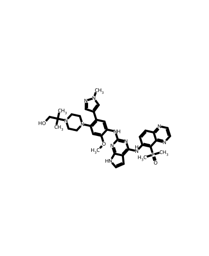 COc1cc(N2CCN(C(C)(C)CO)CC2)c(-c2cnn(C)c2)cc1Nc1nc(Nc2ccc3nccnc3c2P(C)(C)=O)c2cc[nH]c2n1